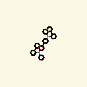 c1ccc(-c2ccccc2N(c2ccccc2)c2ccc(-c3ccc(N(c4ccccc4)c4ccccc4-c4ccccc4)cc3)cc2)cc1